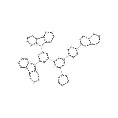 c1ccc(-c2nc(-c3ccc(-c4ccc5cccnc5c4)cc3)cc(-c3cc(-n4c5ccccc5c5ccccc54)cc(-n4c5ccccc5c5ccccc54)c3)n2)cc1